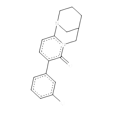 O=c1c(-c2cccc(Cl)c2)ccc2n1CC1CCCN2C1